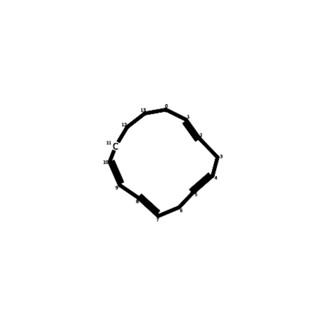 [CH]1/C=C/C/C=C/C/C=C/C=C\CCC1